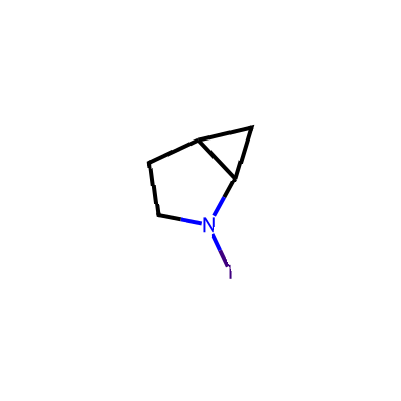 IN1CCC2CC21